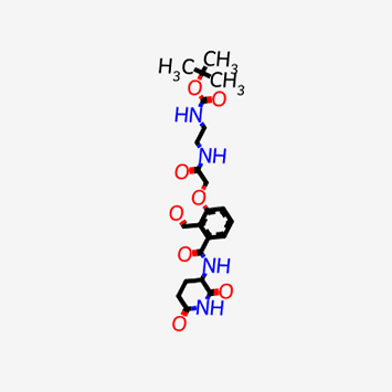 CC(C)(C)OC(=O)NCCNC(=O)COc1cccc(C(=O)NC2CCC(=O)NC2=O)c1C=O